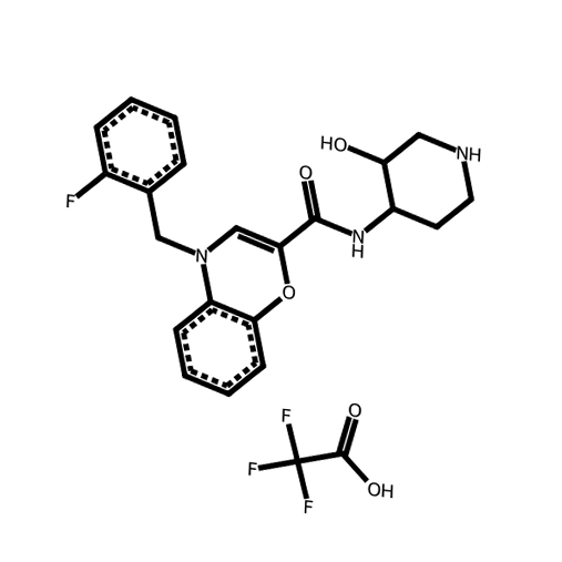 O=C(NC1CCNCC1O)C1=CN(Cc2ccccc2F)c2ccccc2O1.O=C(O)C(F)(F)F